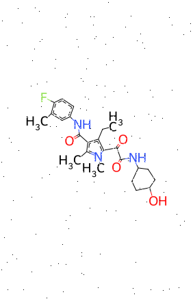 CCc1c(C(=O)Nc2ccc(F)c(C)c2)c(C)n(C)c1C(=O)C(=O)NC1CCC(O)CC1